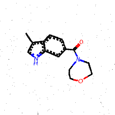 Cc1c[nH]c2cc(C(=O)N3CCOCC3)ccc12